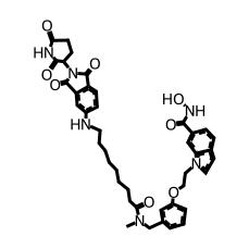 CN(Cc1cccc(OCCn2ccc3ccc(C(=O)NO)cc32)c1)C(=O)CCCCCCCCNc1ccc2c(c1)C(=O)N(C1CCC(=O)NC1=O)C2=O